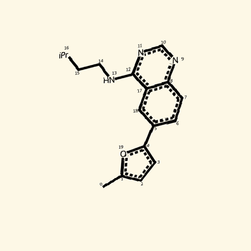 Cc1ccc(-c2ccc3ncnc(NCCC(C)C)c3c2)o1